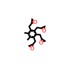 Cc1c(C)c(CC2CO2)c(CC2CO2)c(CC2CO2)c1CC1CO1